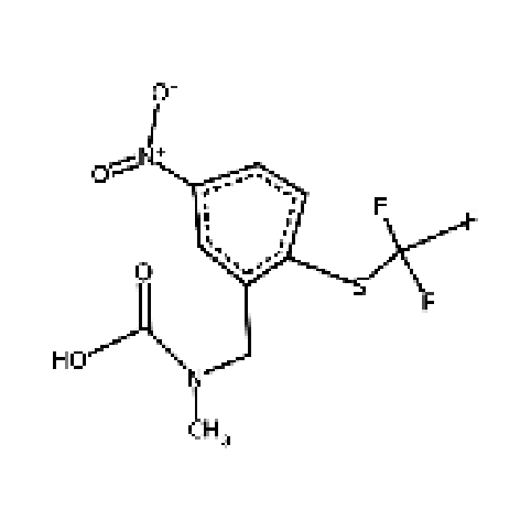 CN(Cc1cc([N+](=O)[O-])ccc1SC(F)(F)F)C(=O)O